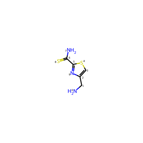 NCc1csc(C(N)=S)n1